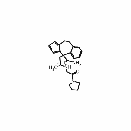 C[C@H](CC1(C(N)=O)c2ccccc2CCc2ccccc21)NCC(=O)N1CCCC1